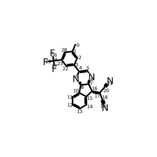 Cc1cc(-c2cnc3c(n2)-c2ccccc2C3=C(C#N)C#N)cc(C(F)(F)F)c1